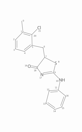 Cc1cccc(CC2SC(Nc3ccccc3)=NC2=O)c1Cl